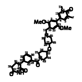 COc1cc(-c2cc(C)c(=O)n(C)c2)c(OC)cc1CN1CCC(OC2CCN(C(=O)c3cccc(N4CCC(=O)NC4=O)c3)CC2)CC1